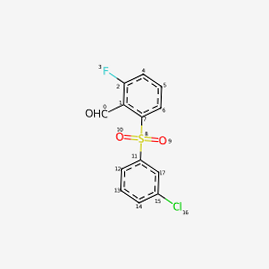 O=Cc1c(F)cccc1S(=O)(=O)c1cccc(Cl)c1